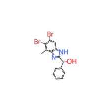 Cc1c(Br)c(Br)cc2[nH]c(C(O)c3ccccc3)nc12